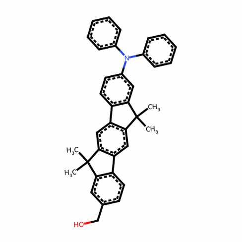 CC1(C)c2cc(CO)ccc2-c2cc3c(cc21)-c1ccc(N(c2ccccc2)c2ccccc2)cc1C3(C)C